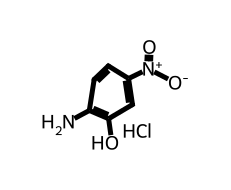 Cl.Nc1ccc([N+](=O)[O-])cc1O